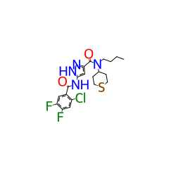 CCCCN(C(=O)c1cc(NC(=O)c2cc(F)c(F)cc2Cl)[nH]n1)C1CCSCC1